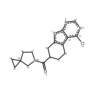 O=C(C1CCc2c(sc3ncnc(Cl)c23)C1)N1CCC2(CC2)C1